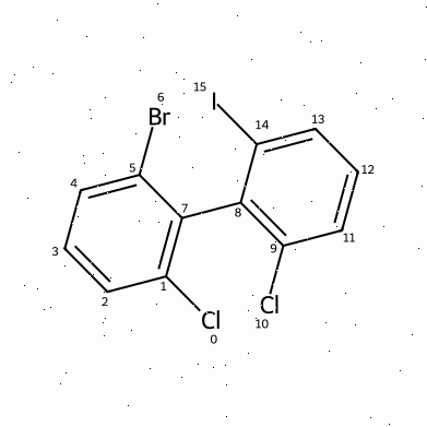 Clc1cccc(Br)c1-c1c(Cl)cccc1I